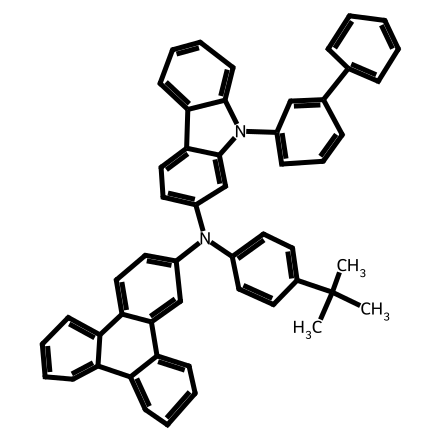 CC(C)(C)c1ccc(N(c2ccc3c4ccccc4c4ccccc4c3c2)c2ccc3c4ccccc4n(-c4cccc(-c5ccccc5)c4)c3c2)cc1